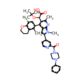 Cc1nc2c(cc(-c3ccnc(C(=O)N4CCN(c5ccccc5)CC4)c3)n2C)c(-c2cc(F)c3c(c2C)CCCO3)c1C(OC(C)(C)C)C(=O)O